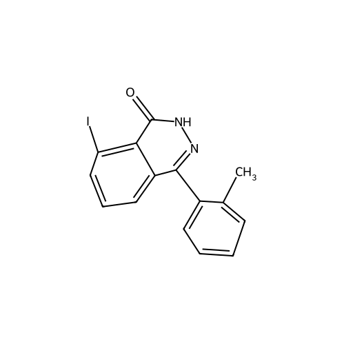 Cc1ccccc1-c1n[nH]c(=O)c2c(I)cccc12